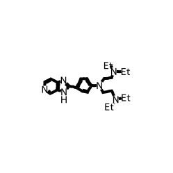 CCN(CC)CCN(CCN(CC)CC)c1ccc(-c2nc3ccncc3[nH]2)cc1